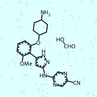 COc1cccc(OC2CCC(N)CC2)c1-c1cc(Nc2cnc(C#N)cn2)n[nH]1.O=CO